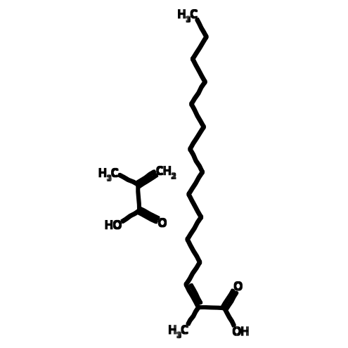 C=C(C)C(=O)O.CCCCCCCCCCCCC=C(C)C(=O)O